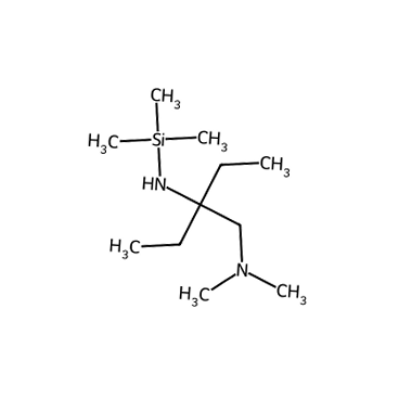 CCC(CC)(CN(C)C)N[Si](C)(C)C